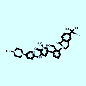 CN1CCN(c2ccc(Nc3cc(-c4cccc(N5CCc6cc(C(C)(C)O)ccc6C5=O)c4CO)cn(C)c3=O)nc2)CC1